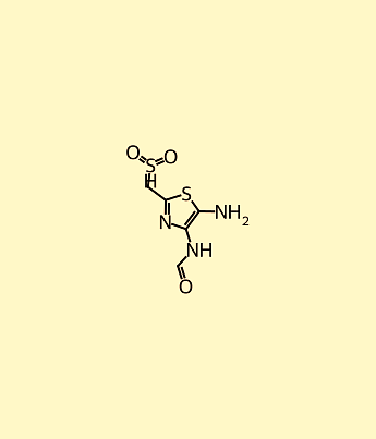 Nc1sc(C[SH](=O)=O)nc1NC=O